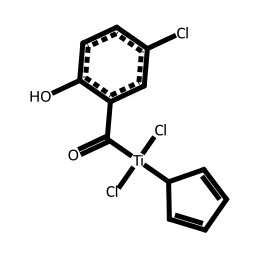 O=[C](c1cc(Cl)ccc1O)[Ti]([Cl])([Cl])[CH]1C=CC=C1